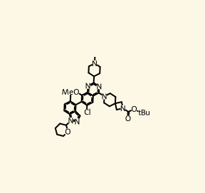 COc1c(-c2c(C)ccc3c2cnn3C2CCCCO2)c(Cl)cc2c(N3CCC4(CC3)CN(C(=O)OC(C)(C)C)C4)nc(C3CCN(C)CC3)nc12